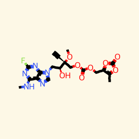 C#C[C@](COC(=O)OCc1oc(=O)oc1C)(OC)[C@@H](O)Cn1cnc2c(NC)nc(F)nc21